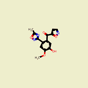 COc1cc(-c2noc(C)n2)c(C(=O)c2ccno2)cc1O